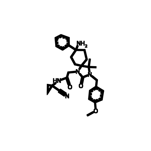 COc1ccc(CN2C(=O)N(CC(=O)NC3(C#N)CC3)C3(CCC(N)(c4ccccc4)CC3)C2(C)C)cc1